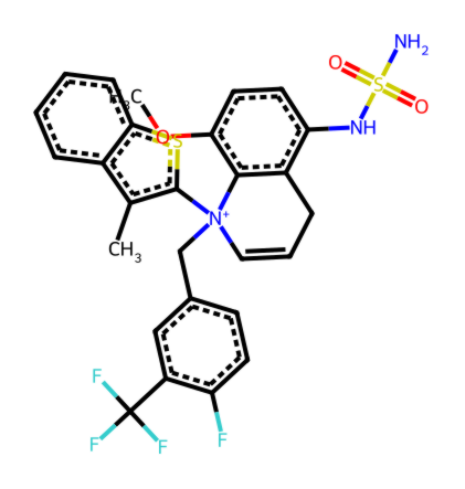 COc1ccc(NS(N)(=O)=O)c2c1[N+](Cc1ccc(F)c(C(F)(F)F)c1)(c1sc3ccccc3c1C)C=CC2